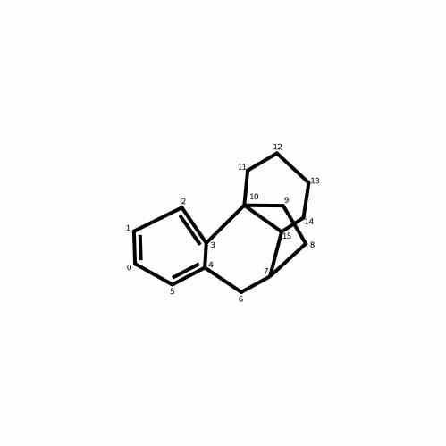 c1ccc2c(c1)CC1CCC23CCCCC13